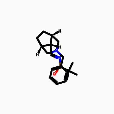 CC(C)(C)[S@@+]([O-])/N=C/[C@H]1[C@@H]2CC[C@H]1CN(Cc1ccccc1)C2